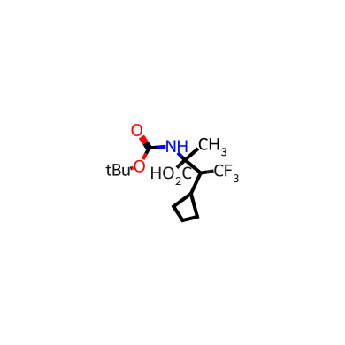 CC(C)(C)OC(=O)NC(C)(C(=O)O)C(C1CCC1)C(F)(F)F